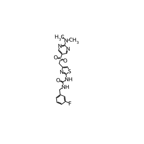 CN(C)c1ncc(S(=O)(=O)Cc2csc(NC(=O)NCc3cccc(F)c3)n2)cn1